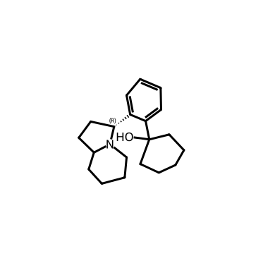 OC1(c2ccccc2[C@H]2CCC3CCCCN32)CCCCC1